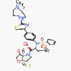 CC(C)C[C@@H](C(=O)N1C[C@H](F)[C@H]2OCC(=O)[C@H]21)N(c1ccc(-c2csc(N3CCN(C)CC3)n2)cc1)S(=O)(=O)c1ccccc1